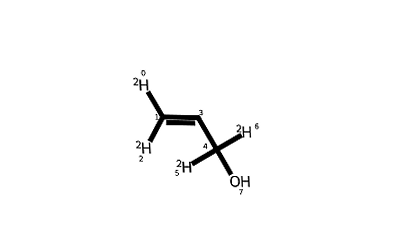 [2H]C([2H])=CC([2H])([2H])O